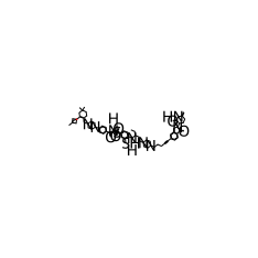 C=C1CCC(N2Cc3cc(C#CCCCN4CCN(CCC(CC)Nc5ccc(S(=O)(=O)NC(=O)c6ccc(N7CCN(CC8=C(C9%10CC(C)(C9)C%10)CC(C)(C)CC8)CC7)cc6)cc5S)CC4)ccc3C2=O)C(=O)N1